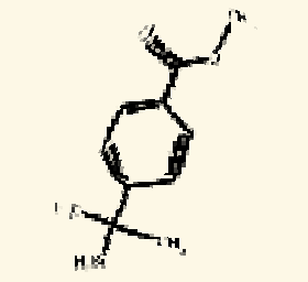 COC(=O)c1ccc([C](C)(C)[BiH2])cc1